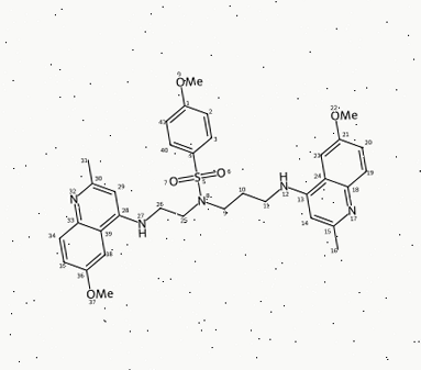 COc1ccc(S(=O)(=O)N(CCCNc2cc(C)nc3ccc(OC)cc23)CCNc2cc(C)nc3ccc(OC)cc23)cc1